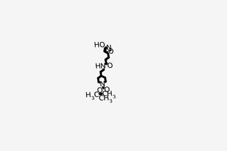 CC(C)(C)OC(=O)N1CCC(CCNC(=O)CCc2cc(O)no2)CC1